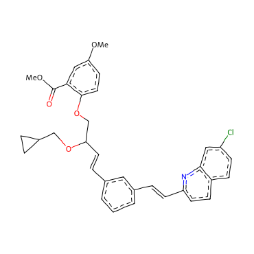 COC(=O)c1cc(OC)ccc1OCC(C=Cc1cccc(C=Cc2ccc3ccc(Cl)cc3n2)c1)OCC1CC1